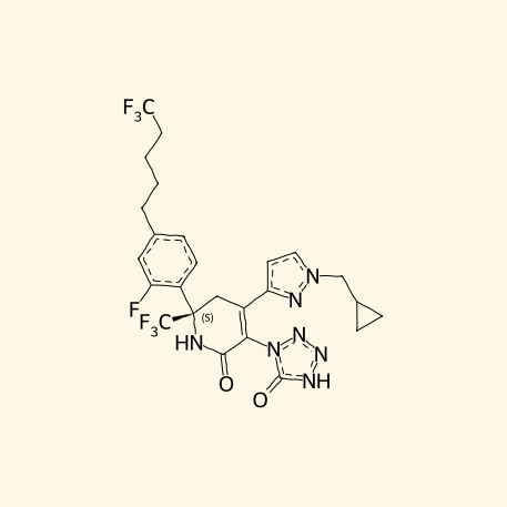 O=C1N[C@@](c2ccc(CCCCC(F)(F)F)cc2F)(C(F)(F)F)CC(c2ccn(CC3CC3)n2)=C1n1nn[nH]c1=O